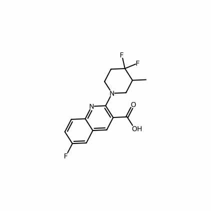 CC1CN(c2nc3ccc(F)cc3cc2C(=O)O)CCC1(F)F